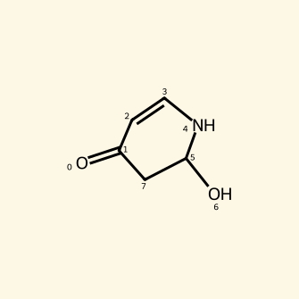 O=C1C=CNC(O)C1